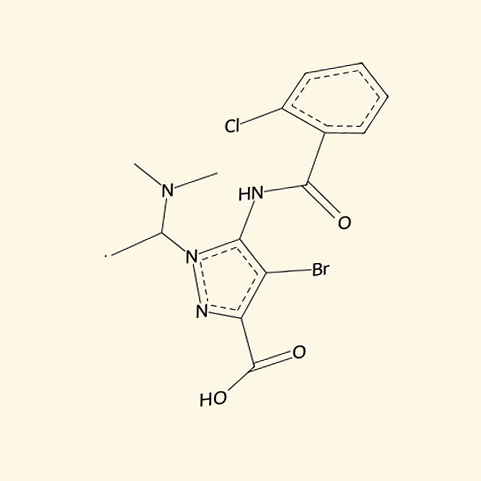 [CH2]C(N(C)C)n1nc(C(=O)O)c(Br)c1NC(=O)c1ccccc1Cl